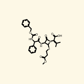 COC(=O)CCSC1C(NC(=O)C(NC(=O)OCc2ccccc2)c2ccccc2)C(=O)N1C(C(=O)O)=C(C)C